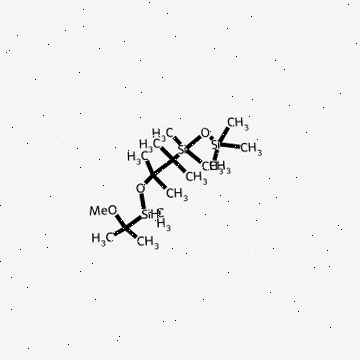 COC(C)(C)[SiH](C)OC(C)(C)C(C)(C)[Si](C)(C)O[Si](C)(C)C